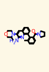 Cc1cccc(C(=O)N2CCCC2)c1-c1cccc2cc(N3CCOCC3C)c(N)nc12